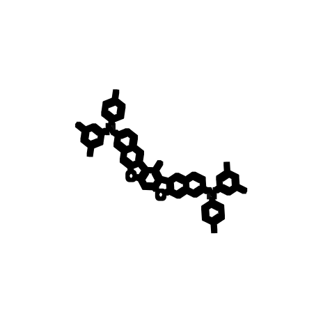 Cc1ccc(N(c2cc(C)cc(C)c2)c2ccc3cc4c(cc3c2)oc2cc3oc5cc6cc(N(c7ccc(C)cc7)c7cc(C)cc(C)c7)ccc6cc5c3c(C)c24)cc1